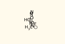 CN(c1ccc(-c2ccc(-n3ccnc3)cc2O)nn1)[C@H]1CCCC[C@H]1F